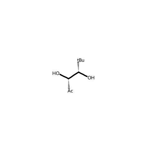 CC(=O)[C@H](O)[C@@H](O)C(C)(C)C